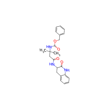 CC(C)(CC(=O)NC1Cc2ccccc2NC1=O)NC(=O)OCc1ccccc1